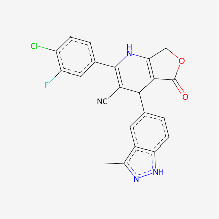 Cc1n[nH]c2ccc(C3C(C#N)=C(c4ccc(Cl)c(F)c4)NC4=C3C(=O)OC4)cc12